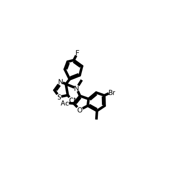 CC(=O)c1oc2c(C)cc(Br)cc2c1N(C)C1(c2ccc(F)cc2)N=CSC1C#N